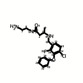 CC(CC(=O)NCCN)NCc1ccc(Cl)c(Oc2ccccc2)c1F